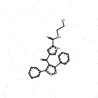 O=C(NCCO)c1cc(C(=O)c2c(-c3ccccc3)noc2-c2ccccc2)c[nH]1